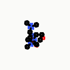 c1ccc(-c2nc(-c3ccccc3)nc(-c3ccc4c5ccc(-c6nc(-c7ccccc7)nc(-c7ccccc7)n6)cc5n(-c5ccc(-c6cccc7oc8ccccc8c67)cc5-c5nc(-c6ccccc6)nc(-c6ccccc6)n5)c4c3)n2)cc1